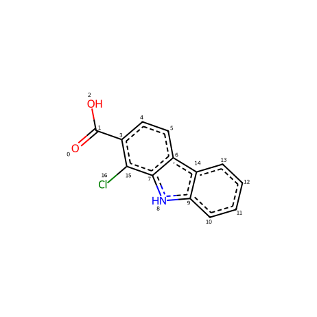 O=C(O)c1ccc2c([nH]c3ccccc32)c1Cl